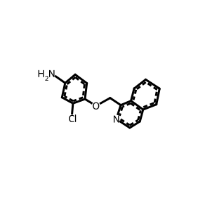 Nc1ccc(OCc2nccc3ccccc23)c(Cl)c1